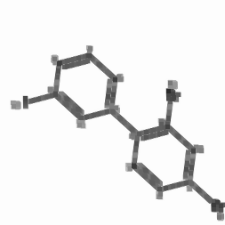 Brc1ccc(-c2cc[c]c(I)c2)c(Br)c1